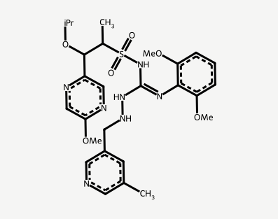 COc1cnc(C(OC(C)C)C(C)S(=O)(=O)N/C(=N\c2c(OC)cccc2OC)NNCc2cncc(C)c2)cn1